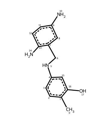 Cc1ccc(NCc2cc(N)ccc2N)cc1O